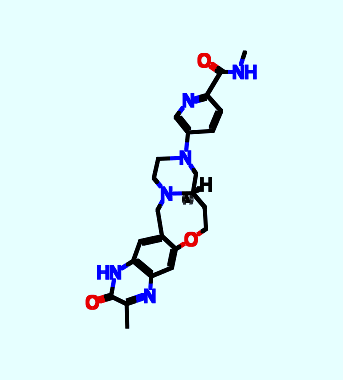 CNC(=O)c1ccc(N2CCN3Cc4cc5[nH]c(=O)c(C)nc5cc4OCC[C@H]3C2)cn1